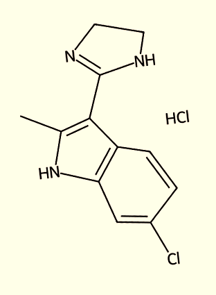 Cc1[nH]c2cc(Cl)ccc2c1C1=NCCN1.Cl